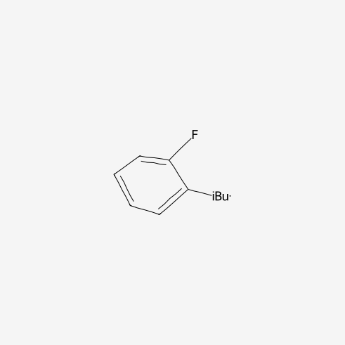 CC[C](C)c1ccccc1F